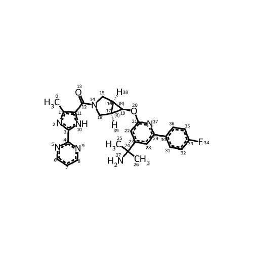 Cc1nc(-c2ncccn2)[nH]c1C(=O)N1C[C@@H]2[C@H](C1)[C@@H]2Oc1cc(C(C)(C)N)cc(-c2ccc(F)cc2)n1